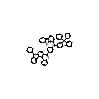 c1ccc(-n2c3ccccc3c3c4c(ccc32)c(-c2ccc(N(c3ccc5c(c3)C(c3ccccc3)(c3ccccc3)c3ccccc3-5)c3cccc5c6ccccc6nn35)cc2)nc2ccccc24)cc1